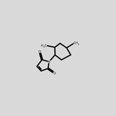 CC1CCC(N2C(=O)C=CC2=O)C(C)C1